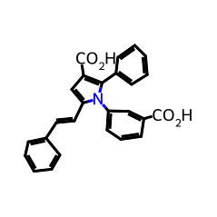 O=C(O)c1cccc(-n2c(C=Cc3ccccc3)cc(C(=O)O)c2-c2ccccc2)c1